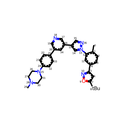 Cc1ccc(-c2cc(C(C)(C)C)on2)cc1-n1cc(-c2cncc(-c3ccc(N4CCN(C)CC4)cc3)c2)cn1